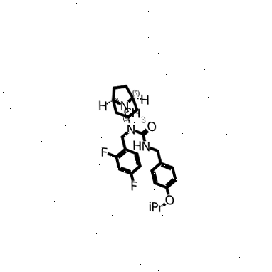 CC(C)Oc1ccc(CNC(=O)N(Cc2ccc(F)cc2F)[C@@H]2C[C@H]3CC[C@@H](C2)N3C)cc1